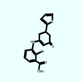 COC(=O)c1cccc(NC2=CC(=O)CC(c3cccs3)C2)c1Br